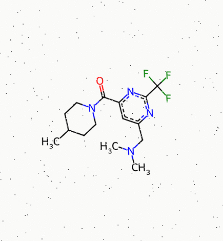 CC1CCN(C(=O)c2cc(CN(C)C)nc(C(F)(F)F)n2)CC1